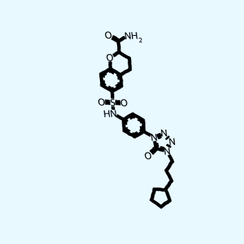 NC(=O)C1CCc2cc(S(=O)(=O)Nc3ccc(-n4nnn(CCCC5CCCC5)c4=O)cc3)ccc2O1